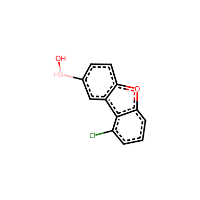 OBc1ccc2oc3cccc(Cl)c3c2c1